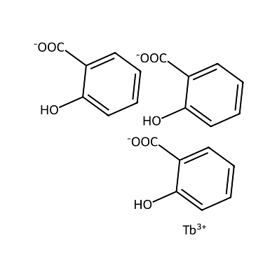 O=C([O-])c1ccccc1O.O=C([O-])c1ccccc1O.O=C([O-])c1ccccc1O.[Tb+3]